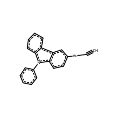 C#[C][Au][c]1ccc2c(c1)c1ccccc1n2-c1ccccc1